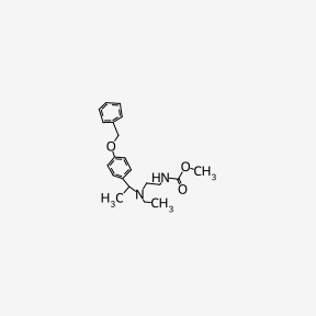 CCN(CCNC(=O)OC)C(C)c1ccc(OCc2ccccc2)cc1